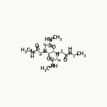 CCNC(=O)CN(CCN(CC(=O)NC)CC(=O)NC)CC(=O)NC